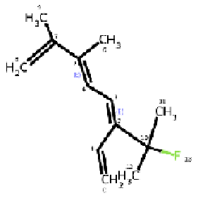 C=C/C(=C\C=C(/C)C(=C)C)C(C)(C)F